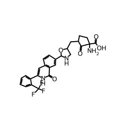 NC1(C(=O)O)CCC(CC2CNC(c3ccc4cc(-c5ccccc5C(F)(F)F)[nH]c(=O)c4c3)O2)C1=O